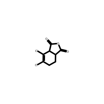 O=C1OC(=O)C2C(Cl)=C(Cl)CCC12